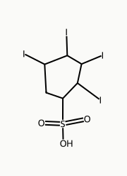 O=S(=O)(O)C1CC(I)C(I)C(I)C1I